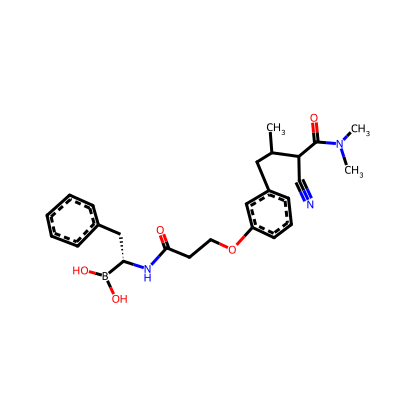 CC(Cc1cccc(OCCC(=O)N[C@@H](Cc2ccccc2)B(O)O)c1)C(C#N)C(=O)N(C)C